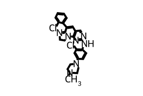 CN1CCN(c2ccc(Nc3ncc4c(n3)N3CCN=C3C(c3ccccc3Cl)=C4)c(Cl)c2)CC1